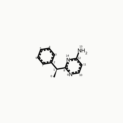 C[C@@H](c1ccccc1)c1nccc(N)n1